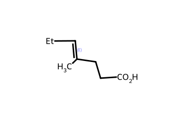 CC/C=C(\C)CCC(=O)O